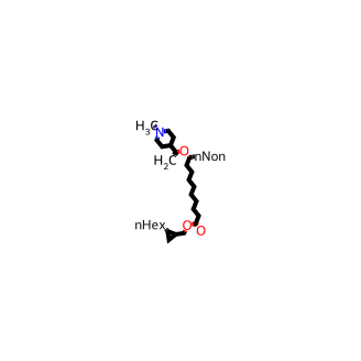 C=C(OC(CCCCCCCCC)CCCCCCCCC(=O)OCC1CC1CCCCCC)C1CCN(C)CC1